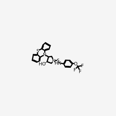 O[C@H]1CN(SNc2ccc(OC(F)(F)F)cc2)CC1N1c2ccccc2Sc2ccccc21